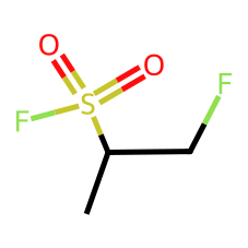 CC(CF)S(=O)(=O)F